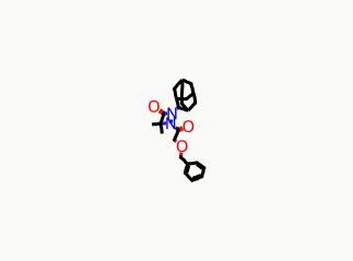 CC1(C)C(=O)N(C2C3CC4CC(C3)CC2C4)N1C(=O)COCc1ccccc1